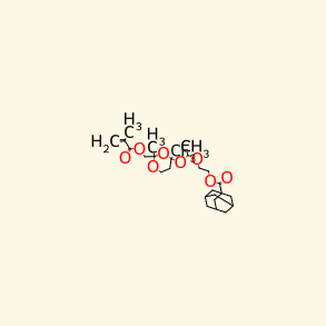 C=C(C)C(=O)OCC1(C)OCCC(OC(C)OCCOC(=O)C23CC4CC(CC(C4)C2)C3)(C(F)(F)F)O1